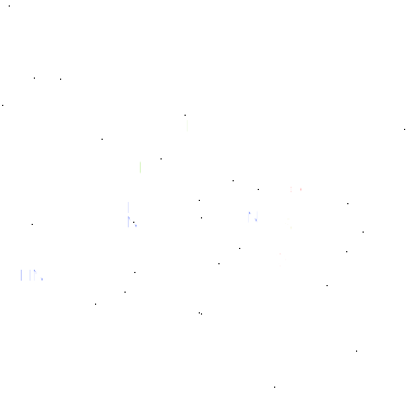 Cc1ccccc1S(=O)(=O)n1cc(C(F)F)c2c(NC3CCNCC3)cccc21